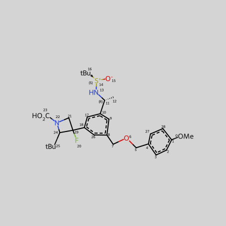 COc1ccc(COCc2cc([C@@H](C)N[S@+]([O-])C(C)(C)C)cc(C3(F)CN(C(=O)O)C3C(C)(C)C)c2)cc1